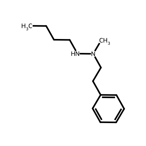 CCCCNN(C)CCc1ccccc1